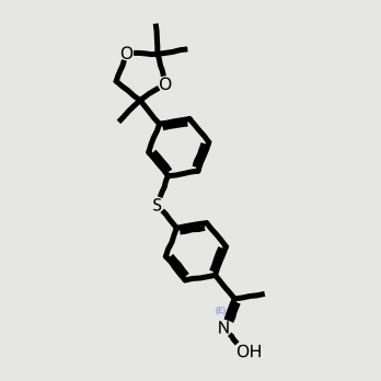 C/C(=N\O)c1ccc(Sc2cccc(C3(C)COC(C)(C)O3)c2)cc1